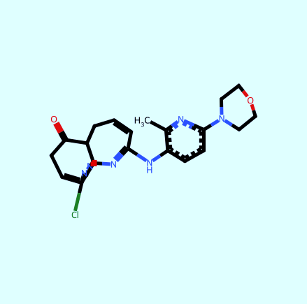 Cc1nc(N2CCOCC2)ccc1NC1=NC23N=CN=C(Cl)C2=CCC(=O)C3CC=C1